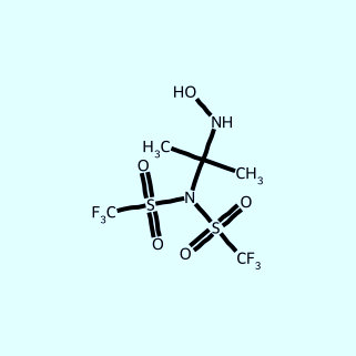 CC(C)(NO)N(S(=O)(=O)C(F)(F)F)S(=O)(=O)C(F)(F)F